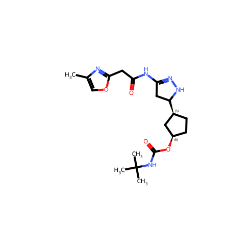 Cc1coc(CC(=O)NC2=NNC([C@H]3CC[C@@H](OC(=O)NC(C)(C)C)C3)C2)n1